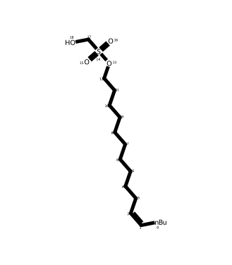 CCCC/C=C\CCCCCCCCCCOS(=O)(=O)CO